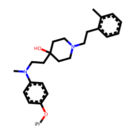 Cc1ccccc1CCN1CCC(O)(CCN(C)c2ccc(OC(C)C)cc2)CC1